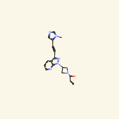 C=CC(=O)N1CC(n2nc(C#Cc3cncn3C)c3cccnc32)C1